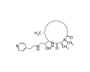 C[C@@H]1CCCCCCCCC(=O)N(C)[C@@H](C)C(=O)NC(C(O)CNCCc2ccncc2)C1